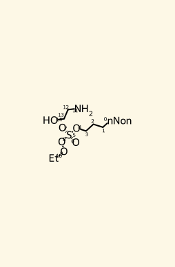 CCCCCCCCCCCCOS(=O)(=O)OOCC.NCCO